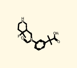 CC(C)(C(=O)O)c1cccc(N(C=O)CC2CNCCC2(C)F)c1